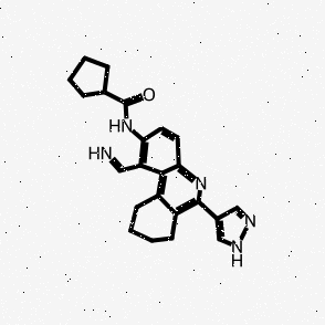 N=Cc1c(NC(=O)C2CCCC2)ccc2nc(-c3cn[nH]c3)c3c(c12)CCCC3